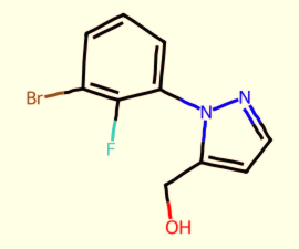 OCc1ccnn1-c1cccc(Br)c1F